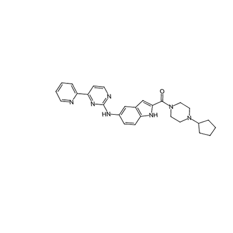 O=C(c1cc2cc(Nc3nccc(-c4ccccn4)n3)ccc2[nH]1)N1CCN(C2CCCC2)CC1